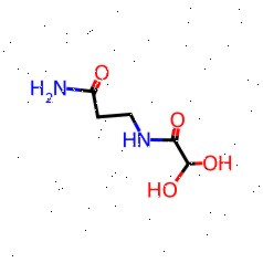 NC(=O)CCNC(=O)C(O)O